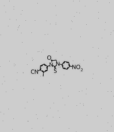 [C-]#[N+]c1ccc(N2C(=O)CN(c3ccc([N+](=O)[O-])cc3)C2=S)cc1C